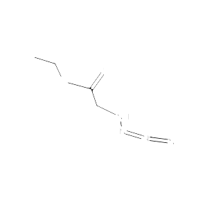 CCOC(=O)CNN=[N+]=[N-]